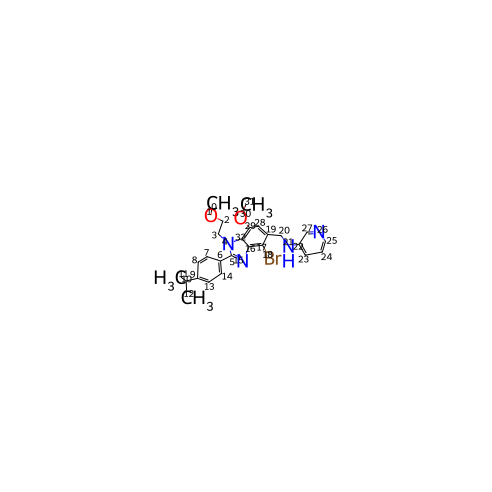 COCCn1c(-c2ccc(C(C)C)cc2)nc2c(Br)c(CNc3cccnc3)cc(OC)c21